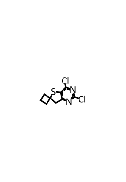 Clc1nc(Cl)c2c(n1)CC1(CCC1)S2